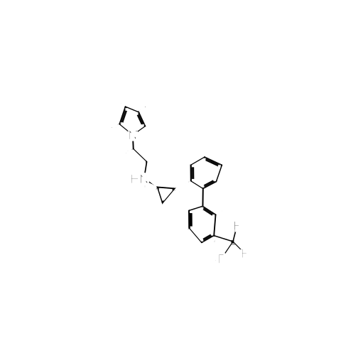 FC(F)(F)c1cccc(-c2ccccc2[C@@H]2C[C@H]2NCCn2cccc2)c1